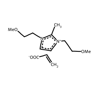 C=CC(=O)[O-].COCCn1cc[n+](CCOC)c1C